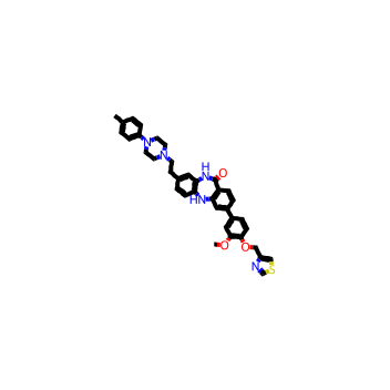 COc1cc(-c2ccc3c(c2)Nc2ccc(CCN4CCN(c5ccc(C)cc5)CC4)cc2NC3=O)ccc1OCc1cscn1